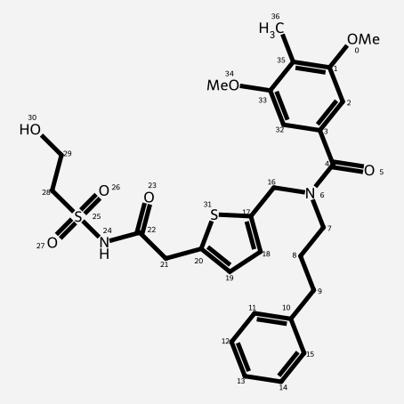 COc1cc(C(=O)N(CCCc2ccccc2)Cc2ccc(CC(=O)NS(=O)(=O)CCO)s2)cc(OC)c1C